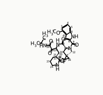 COc1cccc2[nH]c(C(=O)N3C[C@]4(C[C@H]3C(=O)NC(C[C@@H]3CCCNC3=O)C(=O)C(=O)NC(C)C)CC4(F)F)cc12